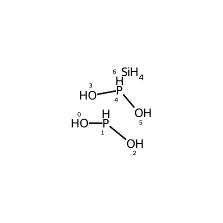 OPO.OPO.[SiH4]